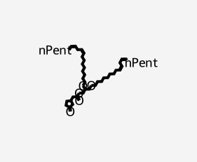 CCCCC/C=C\C/C=C\CCCCCCCCOCC(COC(=O)CC1CCC(=O)C1)OCCCCCCCC/C=C\C/C=C\CCCCC